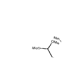 [AlH3].[CH2]C(OC)OC